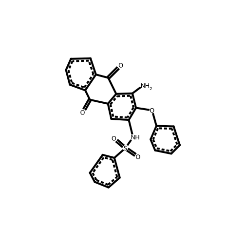 Nc1c(Oc2ccccc2)c(NS(=O)(=O)c2ccccc2)cc2c1C(=O)c1ccccc1C2=O